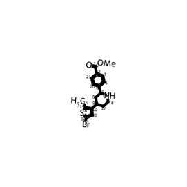 COC(=O)c1ccc(C2CC(c3cc(Br)sc3C)CCN2)cc1